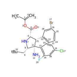 C=C(C)OC(=O)[C@H]1N[C@@H](CC(C)(C)C)[C@](N)(c2ccc(Cl)cc2F)[C@H]1c1cccc(Br)c1